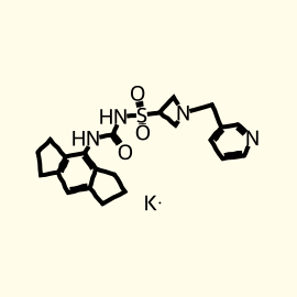 O=C(Nc1c2c(cc3c1CCC3)CCC2)NS(=O)(=O)C1CN(Cc2cccnc2)C1.[K]